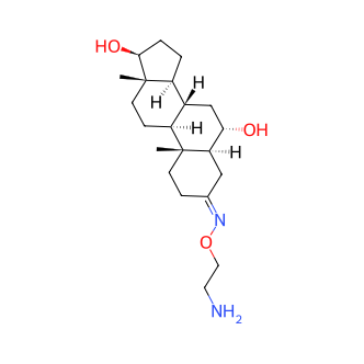 C[C@]12CC/C(=N\OCCN)C[C@@H]1[C@@H](O)C[C@@H]1[C@@H]2CC[C@]2(C)[C@@H](O)CC[C@@H]12